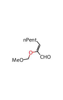 CCCCCC=C(C=O)OCOC